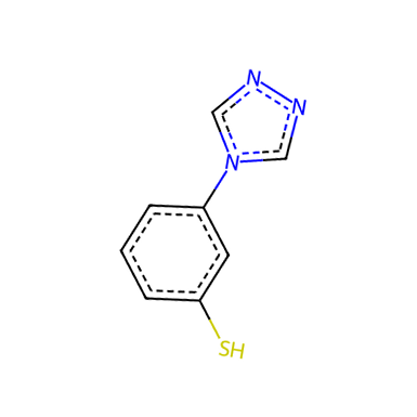 Sc1cccc(-n2cnnc2)c1